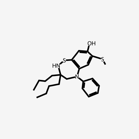 CCCCC1(CCCC)CN(c2ccccc2)c2cc(SC)c(O)cc2SN1